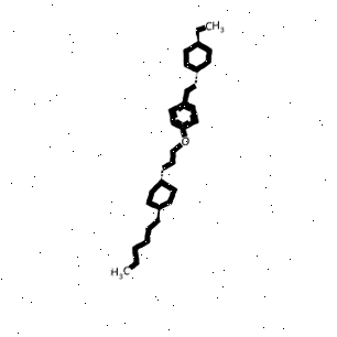 CCCCCC[C@H]1CC[C@H](CCCOc2ccc(CC[C@H]3CC[C@H](CC)CC3)cc2)CC1